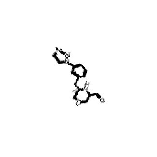 O=CC1COC[C@@H](Cc2cccc(-n3ccnn3)c2)N1